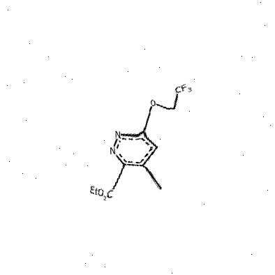 CCOC(=O)c1nnc(OCC(F)(F)F)cc1C